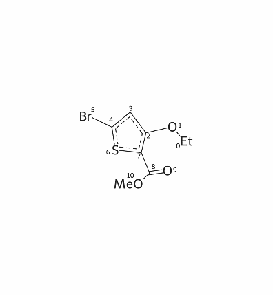 CCOc1cc(Br)sc1C(=O)OC